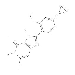 CCSc1cc(C2CC2)ccc1-c1nc2cc(C(F)(F)F)n(C)c(=O)c2n1C